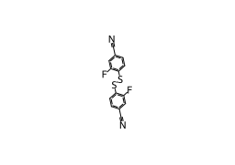 N#Cc1ccc(SSc2ccc(C#N)cc2F)c(F)c1